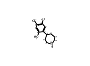 Oc1cc(Cl)c(Cl)cc1C1CCCNCC1